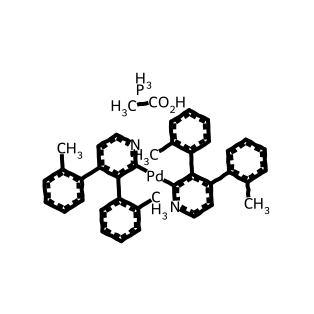 CC(=O)O.Cc1ccccc1-c1ccn[c]([Pd][c]2nccc(-c3ccccc3C)c2-c2ccccc2C)c1-c1ccccc1C.P